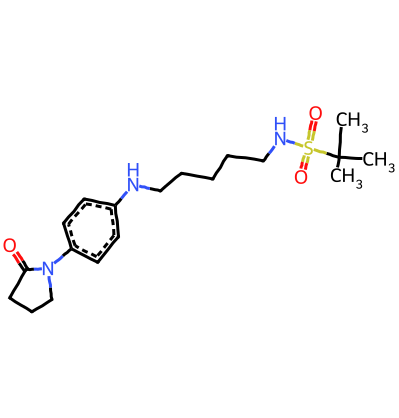 CC(C)(C)S(=O)(=O)NCCCCCNc1ccc(N2CCCC2=O)cc1